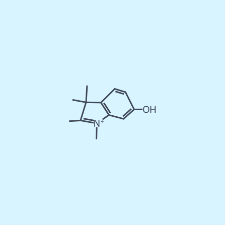 CC1=[N+](C)c2cc(O)ccc2C1(C)C